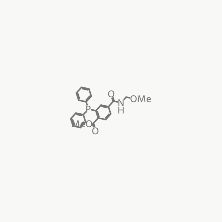 COCNC(=O)c1ccc(C(=O)OC)c(P(c2ccccc2)c2ccccc2)c1